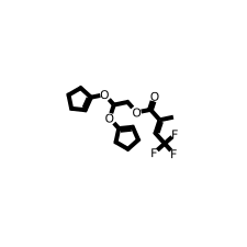 CC(=CC(F)(F)F)C(=O)OCC(OC1=CCCC1)OC1=CCCC1